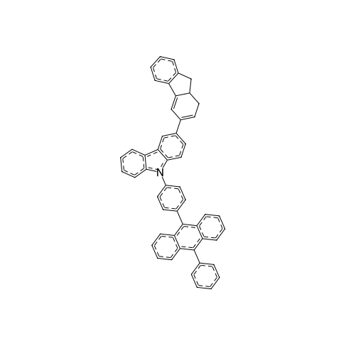 C1=C(c2ccc3c(c2)c2ccccc2n3-c2ccc(-c3c4ccccc4c(-c4ccccc4)c4ccccc34)cc2)C=C2c3ccccc3CC2C1